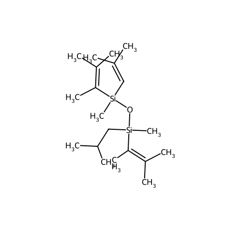 CC(C)=C[Si](C)(O[Si](C)(CC(C)C)C(C)=C(C)C)C(C)=C(C)C